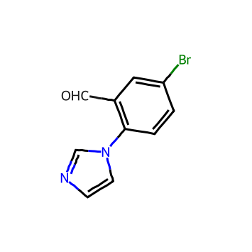 O=Cc1cc(Br)ccc1-n1ccnc1